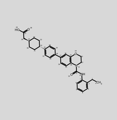 CCc1ccccc1NC(=O)N1CCOc2cc(-c3ccc([C@H]4CC[C@H](CC(=O)O)CC4)cc3)ccc21